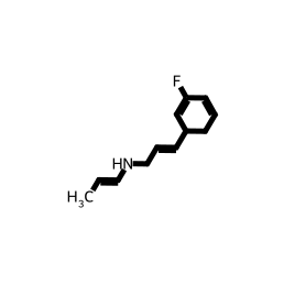 C/C=C/NC/C=C/C1C=C(F)C=CC1